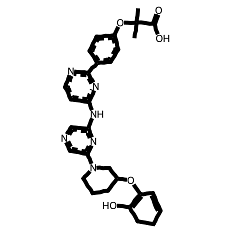 CC(C)(Oc1ccc(-c2nccc(Nc3cncc(N4CCCC(OC5=C(O)CCC=C5)C4)n3)n2)cc1)C(=O)O